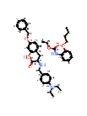 CCCCOc1ccccc1NC(=O)OCC.CCN(CC)c1ccc(CNC(Cc2ccc(OCc3ccccc3)cc2)C(=O)O)cc1